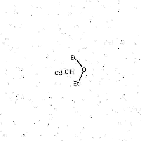 CCOCC.Cl.[Cd]